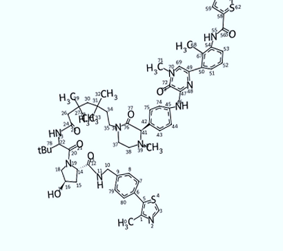 Cc1ncsc1-c1ccc(CNC(=O)[C@@H]2C[C@@H](O)CN2C(=O)C(NC(=O)CC(C)(C)CC(C)(C)CCN2CCN(C)[C@H](c3ccc(Nc4nc(-c5cccc(NC(=O)c6cc7c(s6)CCCC7)c5C)cn(C)c4=O)cc3)C2=O)C(C)(C)C)cc1